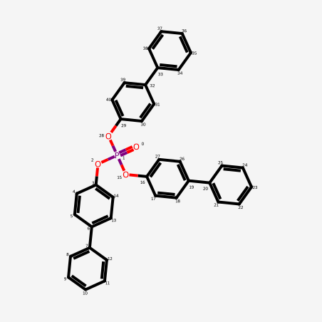 O=P(Oc1ccc(-c2ccccc2)cc1)(Oc1ccc(-c2ccccc2)cc1)Oc1ccc(-c2ccccc2)cc1